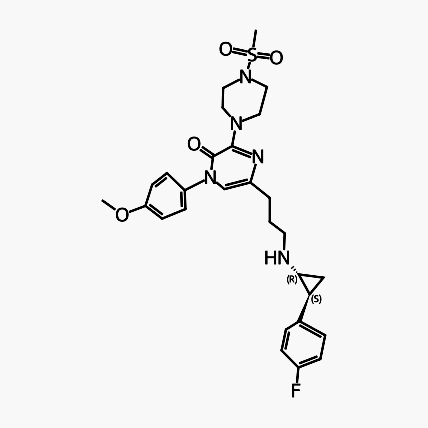 COc1ccc(-n2cc(CCCN[C@@H]3C[C@H]3c3ccc(F)cc3)nc(N3CCN(S(C)(=O)=O)CC3)c2=O)cc1